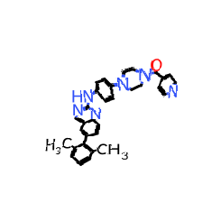 Cc1cccc(C)c1-c1ccc2nc(Nc3ccc(N4CCN(C(=O)c5ccncc5)CC4)cc3)ncc2c1